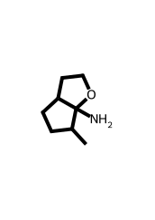 CC1CCC2CCOC12N